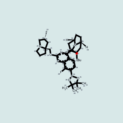 CC(C)(C)OC(=O)N1[C@@H]2CC[C@H]1CN(c1nc(OC[C@@]34CCCN3C[C@H](F)C4)nc3c(F)c(B4OC(C)(C)C(C)(C)O4)ccc13)CC2